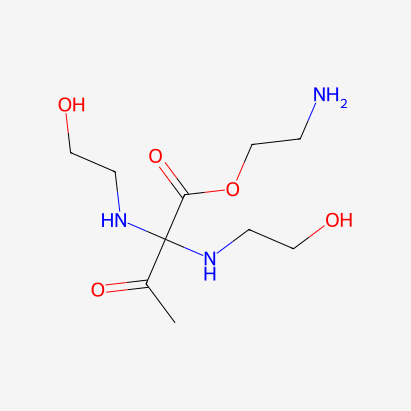 CC(=O)C(NCCO)(NCCO)C(=O)OCCN